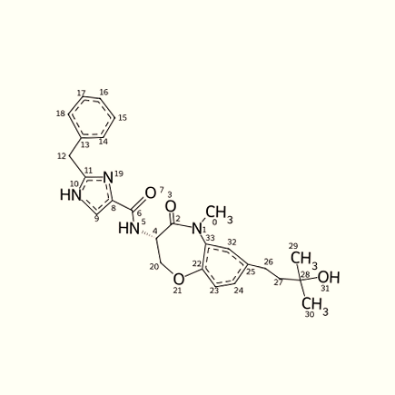 CN1C(=O)[C@@H](NC(=O)c2c[nH]c(Cc3ccccc3)n2)COc2ccc(CCC(C)(C)O)cc21